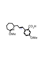 COC1=NC(C/C=C/c2ccc(OC)cc2C(=O)O)CCCC1